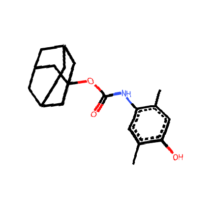 Cc1cc(NC(=O)OC23CC4CC(CC(C4)C2)C3)c(C)cc1O